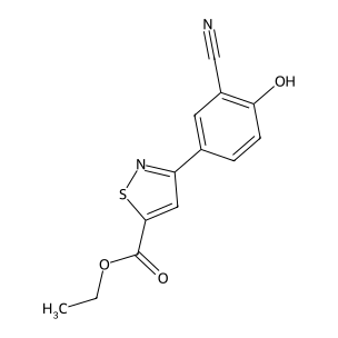 CCOC(=O)c1cc(-c2ccc(O)c(C#N)c2)ns1